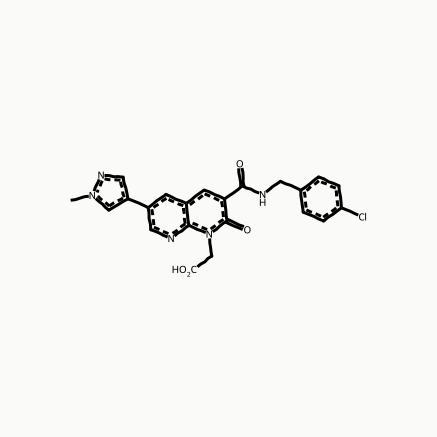 Cn1cc(-c2cnc3c(c2)cc(C(=O)NCc2ccc(Cl)cc2)c(=O)n3CC(=O)O)cn1